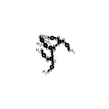 C=COC1CCC(COC(=O)c2cc(OCCOC(=O)c3ccc(Oc4ccc(C(C)(C)c5ccc(OC)cc5)cc4)cc3C(=O)OCCOc3cc(C(=O)OCC4CCC(OC=C)CC4)cc(C(=O)OCC4CCC(OC=C)CC4)c3)cc(C(=O)OCC3CCC(OC=C)CC3)c2)CC1